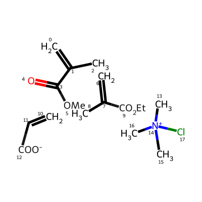 C=C(C)C(=O)OC.C=C(C)C(=O)OCC.C=CC(=O)[O-].C[N+](C)(C)Cl